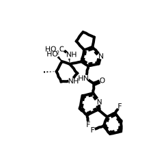 C[C@H]1CNC[C@](NC(=O)O)(c2c(NC(=O)c3ccc(F)c(-c4c(F)cccc4F)n3)cnc3c2CCC3)[C@@H]1O